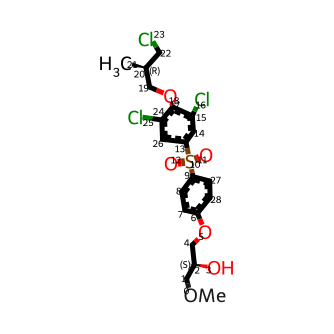 COC[C@H](O)COc1ccc(S(=O)(=O)c2cc(Cl)c(OC[C@@H](C)CCl)c(Cl)c2)cc1